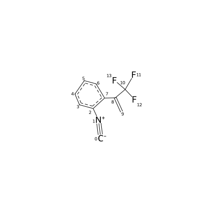 [C-]#[N+]c1ccccc1C(=C)C(F)(F)F